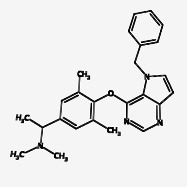 Cc1cc(C(C)N(C)C)cc(C)c1Oc1ncnc2ccn(Cc3ccccc3)c12